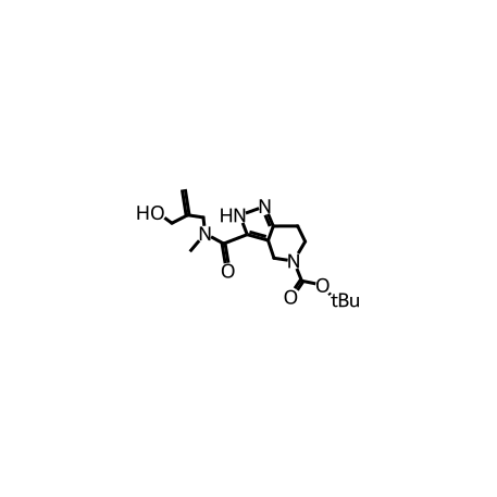 C=C(CO)CN(C)C(=O)c1[nH]nc2c1CN(C(=O)OC(C)(C)C)CC2